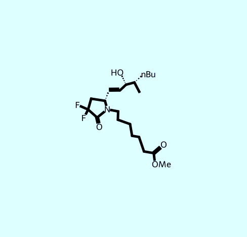 CCCC[C@H](C)[C@@H](O)C=C[C@H]1CC(F)(F)C(=O)N1CCCCCCC(=O)OC